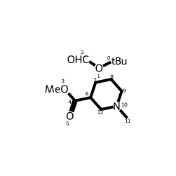 CC(C)(C)OC=O.COC(=O)C1CCCN(C)C1